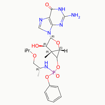 CC(C)OC[C@@H](C)NP(=O)(Oc1ccccc1)OC1[C@H]2O[C@@H](n3cnc4c(=O)[nH]c(N)nc43)[C@H](O)[C@@]12C